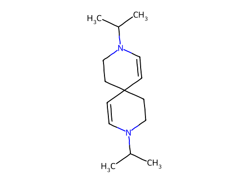 CC(C)N1C=CC2(C=CN(C(C)C)CC2)CC1